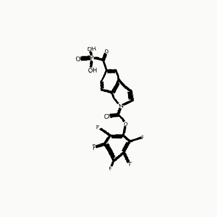 O=C(Oc1c(F)c(F)c(F)c(F)c1F)n1ccc2cc(C(=O)P(=O)(O)O)ccc21